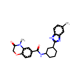 CN1C(=O)COc2ccc(C(=O)NC3CCCC(c4nc5cc(C(F)(F)F)ccc5[nH]4)C3)cc21